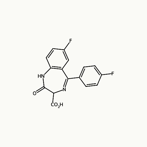 O=C(O)C1N=C(c2ccc(F)cc2)c2cc(F)ccc2NC1=O